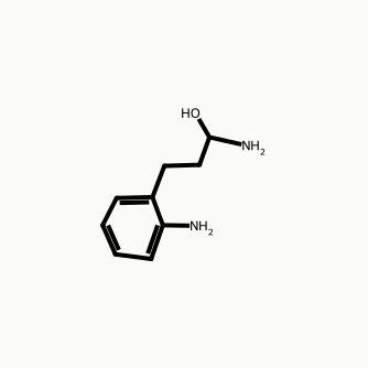 Nc1ccccc1CCC(N)O